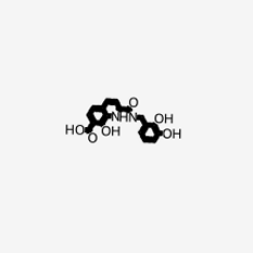 O=C(NCc1cccc(O)c1O)c1ccc2ccc(C(=O)O)c(O)c2n1